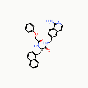 Nc1nccc2cc(CNC(=O)[C@H](Cc3cccc4ccccc34)NC(=O)COc3ccccc3)ccc12